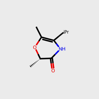 CC1=C(C(C)C)NC(=O)[C@H](C)O1